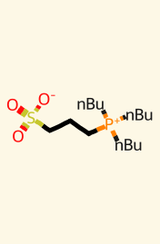 CCCC[P+](CCCC)(CCCC)CCCS(=O)(=O)[O-]